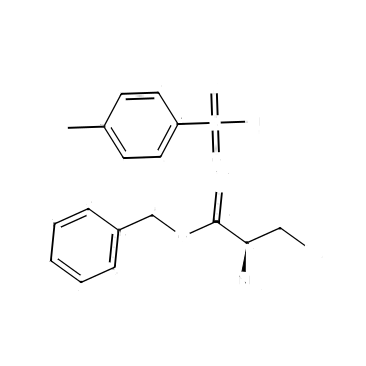 Cc1ccc(S(=O)(=O)O)cc1.N[C@H](CF)C(=O)OCc1ccccc1